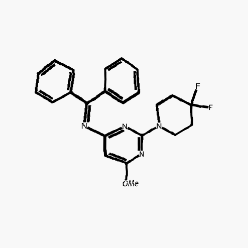 COc1cc(N=C(c2ccccc2)c2ccccc2)nc(N2CCC(F)(F)CC2)n1